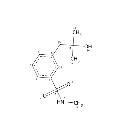 CNS(=O)(=O)c1cccc(CC(C)(C)O)c1